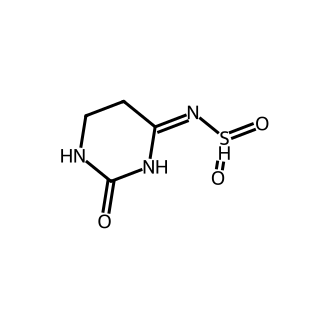 O=C1NCCC(=N[SH](=O)=O)N1